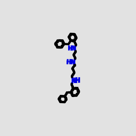 c1ccc(Cc2ccccc2CNCCCCNCCCNCc2ccccc2Cc2ccccc2)cc1